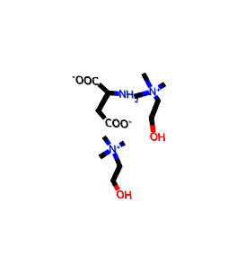 C[N+](C)(C)CCO.C[N+](C)(C)CCO.NC(CC(=O)[O-])C(=O)[O-]